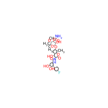 CO[C@@H]1[C@@H](OC(N)=O)[C@@H](O)[C@H](Oc2ccc3c(O)c(NC(=O)c4cc(O)c(O)c(-c5ccc(F)cc5)c4)c(=O)oc3c2C)OC1(C)C